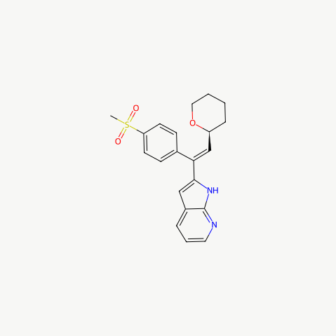 CS(=O)(=O)c1ccc(C(=C[C@@H]2CCCCO2)c2cc3cccnc3[nH]2)cc1